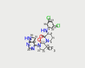 O=C1C(N2CCCC(Nc3cc(Cl)cc(Cl)c3)C2=O)C(C(F)(F)F)CCN1c1ncnc2[nH]ccc12